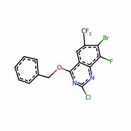 Fc1c(Br)c(C(F)(F)F)cc2c(OCc3ccccc3)nc(Cl)nc12